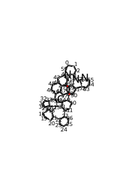 c1ccc(-n2c3ccc(-c4ccc5c(c4)C4(c6ccccc6-c6ccccc6-5)c5ccccc5-c5c4cc4ccc6cccc7ccc5c4c67)cc3c3cccnc32)nc1